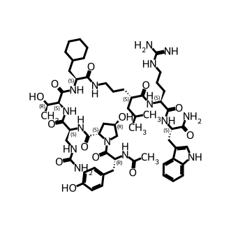 CC(=O)N[C@H](Cc1ccc(O)cc1)C(=O)N1C[C@H](O)C[C@H]1C(=O)N[C@@H](CNC(N)=O)C(=O)N[C@H](C(=O)N[C@@H](CC1CCCCC1)C(=O)NCCC[C@@H](CC(C)C)C(=O)N[C@@H](CCCNC(=N)N)C(=O)N[C@@H](Cc1c[nH]c2ccccc12)C(N)=O)[C@@H](C)O